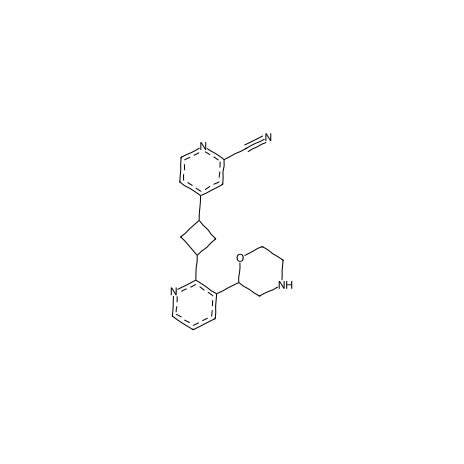 N#Cc1cc(C2CC(c3ncccc3C3CNCCO3)C2)ccn1